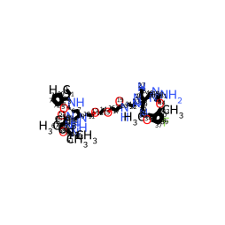 CC[C@@H](NC(=O)[C@@H]1C[C@H](NCCOCCOCCC(=O)NCCn2nc(C#N)c3c2CN(C)C(=O)c2ccc(F)cc2[C@@H](C)Oc2nc-3cnc2N)CN1C(=O)[C@@H](NC(=O)[C@H](C)NC)C(C)(C)C)c1ccccc1